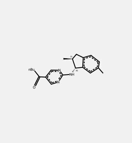 CCCCC(=O)c1cnc(N[C@H]2c3cc(C)ccc3C[C@@H]2C)nc1